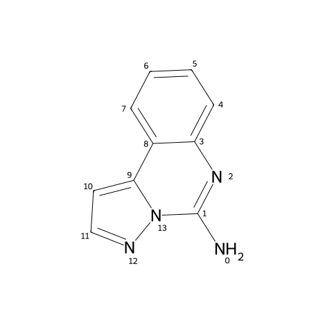 Nc1nc2ccccc2c2ccnn12